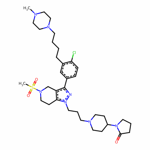 CN1CCN(CCCCc2cc(-c3nn(CCCN4CCC(N5CCCC5=O)CC4)c4c3CN(S(C)(=O)=O)CC4)ccc2Cl)CC1